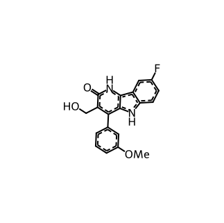 COc1cccc(-c2c(CO)c(=O)[nH]c3c2[nH]c2ccc(F)cc23)c1